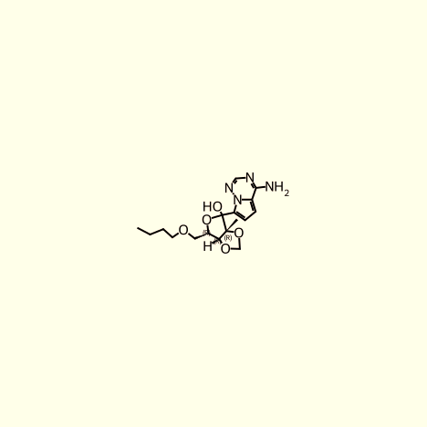 CCCCOC[C@H]1OC(O)(c2ccc3c(N)ncnn23)[C@]2(C)OCO[C@H]12